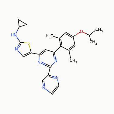 Cc1cc(OC(C)C)cc(C)c1-c1cc(-c2cnc(NC3CC3)s2)nc(-c2cnccn2)n1